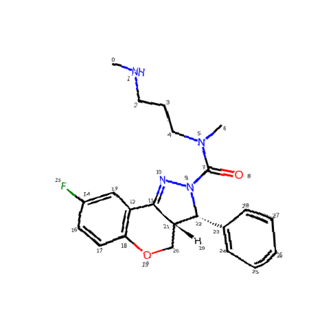 CNCCCN(C)C(=O)N1N=C2c3cc(F)ccc3OC[C@H]2[C@H]1c1ccccc1